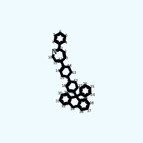 C1=CC(c2ccccc2)=NCC=C1C1=CCC(C2=CC=C(C3(c4ccccc4)c4ccccc4Cc4ccccc43)CC2)CC1